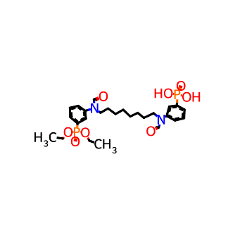 CCOP(=O)(OCC)c1cccc(N(C=O)CCCCCCCCN(C=O)c2cccc(P(=O)(O)O)c2)c1